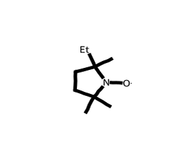 CCC1(C)CCC(C)(C)N1[O]